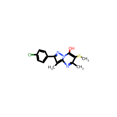 CSc1c(C)nc2c(C)c(-c3ccc(Cl)cc3)nn2c1O